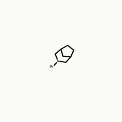 CC(C)N1CC2CCC(C2)C1